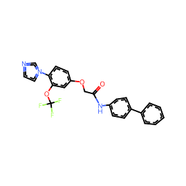 O=C(COc1ccc(-n2ccnc2)c(OC(F)(F)F)c1)Nc1ccc(-c2ccccc2)cc1